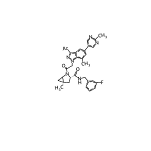 CC(=O)c1nn(CC(=O)N2C3C[C@]3(C)C[C@H]2C(=O)NCc2cccc(F)c2)c2c(C)cc(-c3cnc(C)nc3)cc12